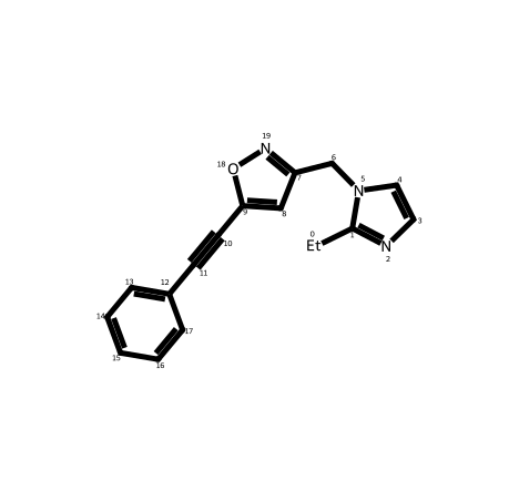 CCc1nccn1Cc1cc(C#Cc2ccccc2)on1